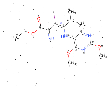 CCOC(=O)C(=N)/C(I)=C(\Nc1cnc(OC)nc1OC)C(C)C